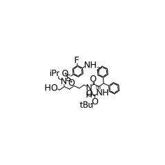 CC(C)CN(C(CO)CCCCNC(=O)[C@@H](NC(=O)OC(C)(C)C)C(c1ccccc1)c1ccccc1)S(=O)(=O)c1ccc(N)c(F)c1